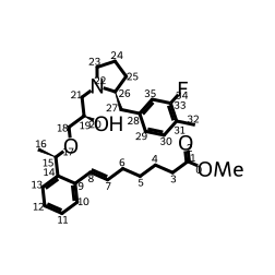 COC(=O)CCCC/C=C/c1ccccc1[C@@H](C)OC[C@H](O)CN1CCC[C@H]1Cc1ccc(C)c(F)c1